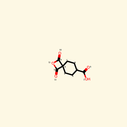 O=C(O)C1CCC2(CC1)C(=O)OC2=O